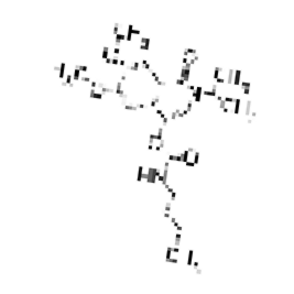 CCCCNC(=O)Oc1cn(C(C)C)c(=O)c2cc(OC)c(OC)cc12